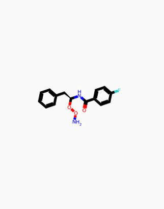 NOO[C@@H](Cc1ccccc1)NC(=O)c1ccc(F)cc1